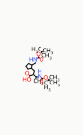 C[C@@H](NC(=O)OC(C)(C)C)C(CC1CCCC1CNC(=O)OC(C)(C)C)C(=O)O